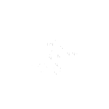 CCC1C(=O)Nc2cnc(-n3ccnc3-c3ccc(F)cc3)nc2N1c1cc[nH]n1